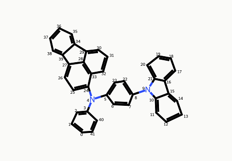 c1ccc(N(c2ccc(-n3c4ccccc4c4ccccc43)cc2)c2ccc3c4c(cccc24)-c2ccccc2-3)cc1